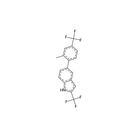 Cc1cc(C(F)(F)F)ccc1-c1ccc2[nH]c(C(F)(F)F)cc2c1